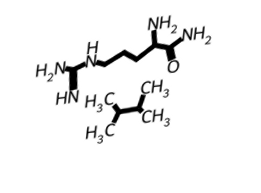 CC(C)C(C)C.N=C(N)NCCCC(N)C(N)=O